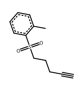 C#CCCCS(=O)(=O)c1ccccc1C